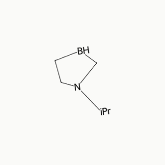 CC(C)N1CBCC1